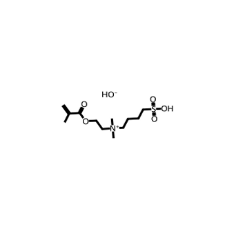 C=C(C)C(=O)OCC[N+](C)(C)CCCCS(=O)(=O)O.[OH-]